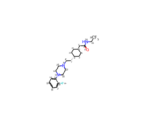 O=C(C[C@H]1CC[C@H](CCN2CCN(c3ccccc3F)CC2)CC1)NCC(F)(F)F